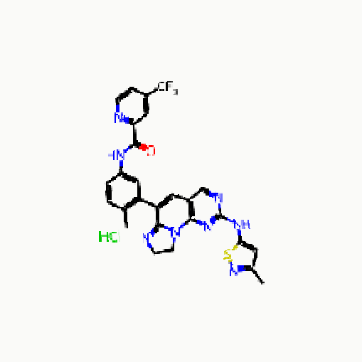 Cc1cc(Nc2ncc3c(n2)N2CCN=C2C(c2cc(NC(=O)c4cc(C(F)(F)F)ccn4)ccc2C)=C3)sn1.Cl